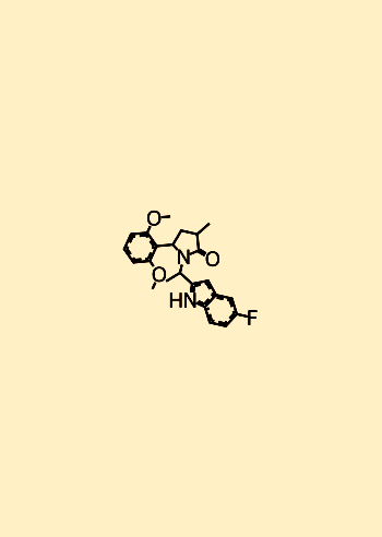 COc1cccc(OC)c1C1CC(C)C(=O)N1C(C)c1cc2cc(F)ccc2[nH]1